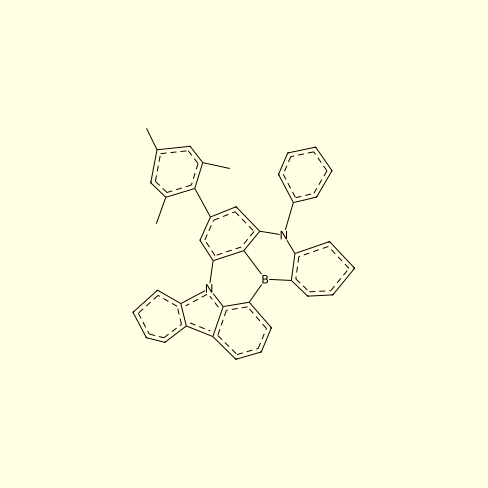 Cc1cc(C)c(-c2cc3c4c(c2)-n2c5ccccc5c5cccc(c52)B4c2ccccc2N3c2ccccc2)c(C)c1